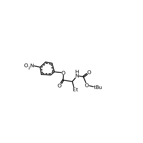 CCC(NC(=O)OC(C)(C)C)C(=O)Oc1ccc([N+](=O)[O-])cc1